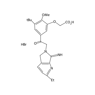 Br.CCc1ccc2c(n1)C(=N)N(CC(=O)c1cc(OCC(=O)O)c(OC)c(C(C)(C)C)c1)C2